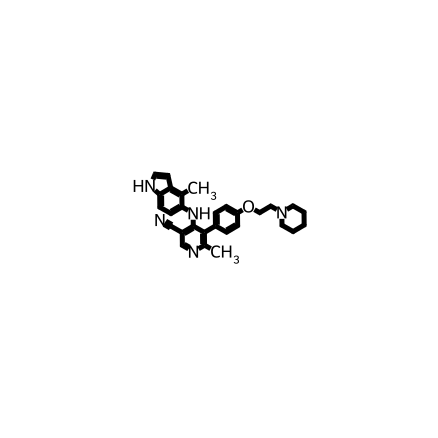 Cc1ncc(C#N)c(Nc2ccc3[nH]ccc3c2C)c1-c1ccc(OCCN2CCCCC2)cc1